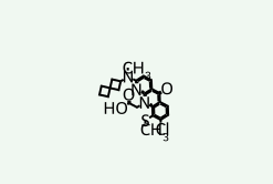 CSc1c(Cl)ccc2c(=O)c3ccc(N(C)C4CC5(CCC5)C4)nc3n(CC(=O)O)c12